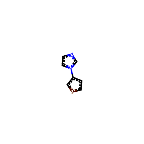 c1cn(-c2ccsc2)cn1